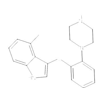 Cc1cccc2[nH]cc(Sc3ccccc3N3CCNCC3)c12